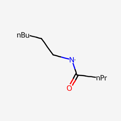 CCCCCC[N]C(=O)CCC